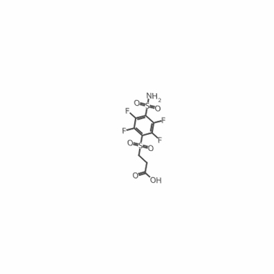 NS(=O)(=O)c1c(F)c(F)c(S(=O)(=O)CCC(=O)O)c(F)c1F